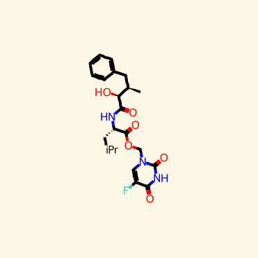 CC(C)C[C@H](NC(=O)[C@@H](O)[C@H](C)Cc1ccccc1)C(=O)OCn1cc(F)c(=O)[nH]c1=O